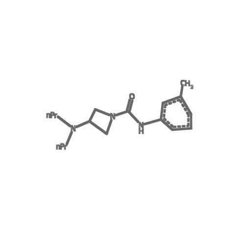 CCCN(CCC)C1CN(C(=O)Nc2cccc(C)c2)C1